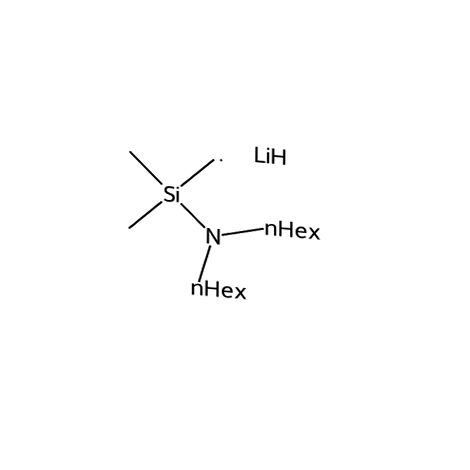 [CH2][Si](C)(C)N(CCCCCC)CCCCCC.[LiH]